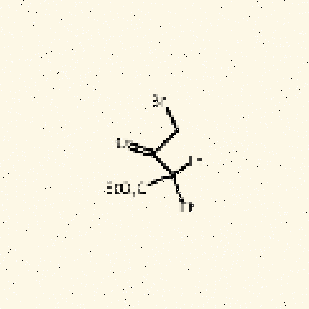 CCOC(=O)C(CC)(CC)C(=O)CBr